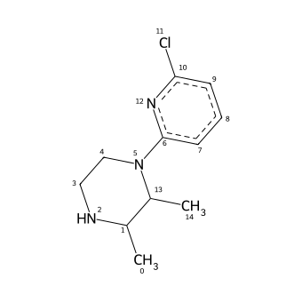 CC1NCCN(c2cccc(Cl)n2)C1C